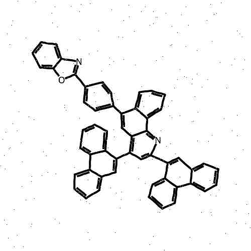 c1ccc2c(c1)cc(-c1cc(-c3cc4ccccc4c4ccccc34)c3cc(-c4ccc(-c5nc6ccccc6o5)cc4)c4ccccc4c3n1)c1ccccc12